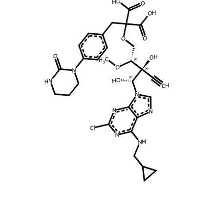 C#C[C@@](O)([C@@H](COC(Cc1ccc(N2CCCNC2=O)cc1)(C(=O)O)C(=O)O)OC)[C@@H](O)n1cnc2c(NCC3CC3)nc(Cl)nc21